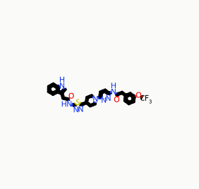 O=C(Cc1cccc(OC(F)(F)F)c1)Nc1ccc(N2CCC(c3nnc(NC(=O)Cc4c[nH]c5ccccc45)s3)CC2)nn1